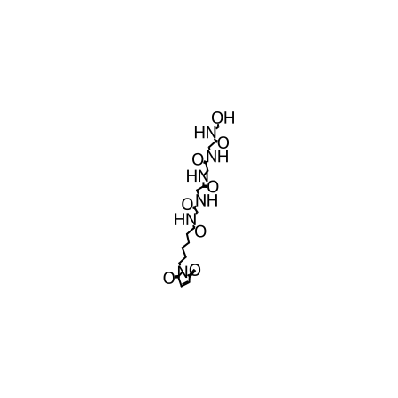 O=C(CCCCCN1C(=O)C=CC1=O)NCC(=O)NCC(=O)NCC(=O)NCC(=O)NCO